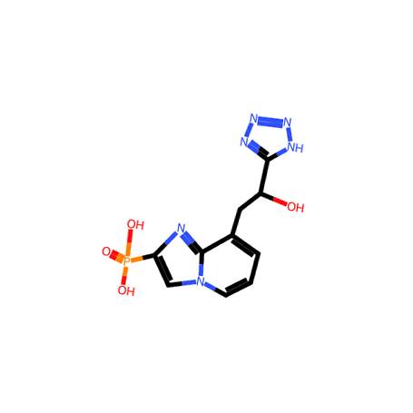 O=P(O)(O)c1cn2cccc(CC(O)c3nnn[nH]3)c2n1